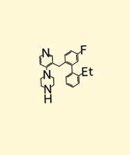 CCc1ccccc1-c1cc(F)ccc1Cc1cnccc1N1CCNCC1